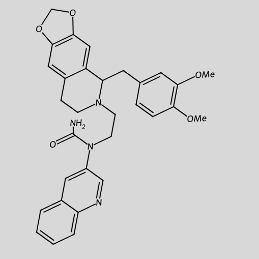 COc1ccc(CC2c3cc4c(cc3CCN2CCN(C(N)=O)c2cnc3ccccc3c2)OCO4)cc1OC